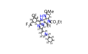 CCOC(=O)N1c2ccc(OC)nc2[C@@H](NC(c2cc(C(F)(F)F)cc(C(F)(F)F)c2)c2ncc(C3=CCCN(Cc4ccccc4)C3)cn2)C[C@H]1CC